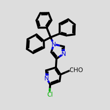 O=Cc1cc(Cl)ncc1-c1cn(C(c2ccccc2)(c2ccccc2)c2ccccc2)cn1